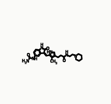 Cc1c(CCC(=O)NCCN2CCCCC2)c[nH]c1C=C1C(=O)Nc2ccc(NC(N)=O)cc21